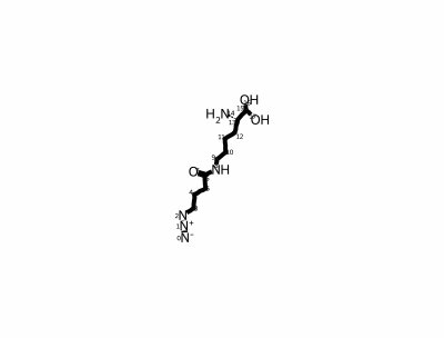 [N-]=[N+]=NCCCC(=O)NCCCC[C@H](N)C(O)O